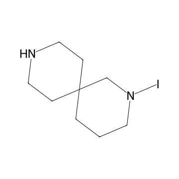 IN1CCCC2(CCNCC2)C1